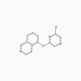 Clc1cncc(Oc2cccc3cnccc23)n1